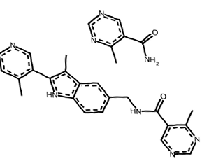 Cc1ccncc1-c1[nH]c2ccc(CNC(=O)c3cncnc3C)cc2c1C.Cc1ncncc1C(N)=O